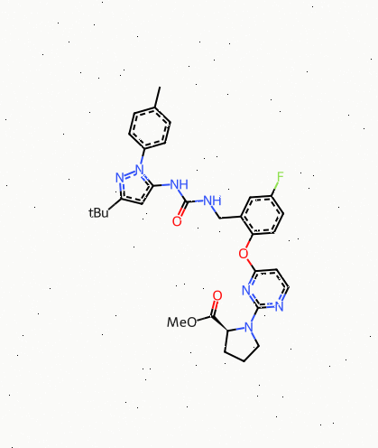 COC(=O)[C@@H]1CCCN1c1nccc(Oc2ccc(F)cc2CNC(=O)Nc2cc(C(C)(C)C)nn2-c2ccc(C)cc2)n1